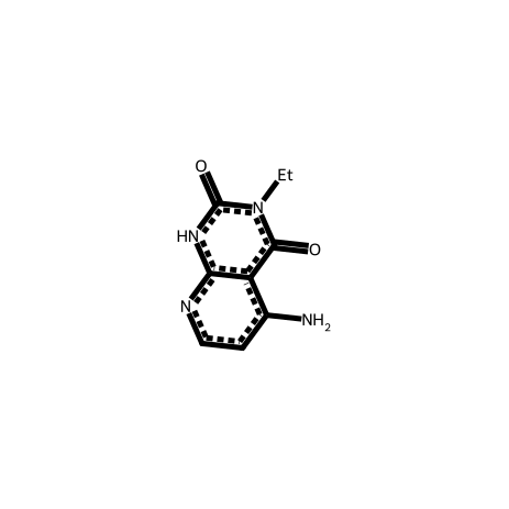 CCn1c(=O)[nH]c2nccc(N)c2c1=O